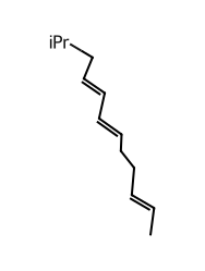 CC=CCCC=CC=CCC(C)C